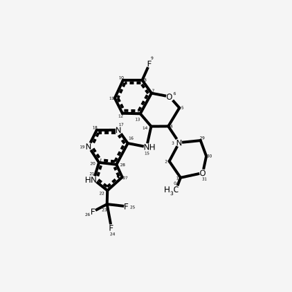 CC1CN(C2COc3c(F)cccc3C2Nc2ncnc3[nH]c(C(F)(F)F)cc23)CCO1